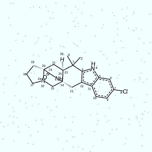 CC1(C)c2[nH]c3cc(Cl)ccc3c2C[C@@]23CN4CCC[C@]4(C[C@@H]12)C(=O)N3